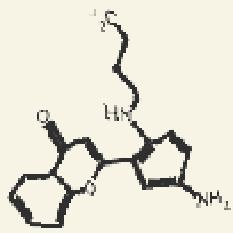 CCCCNc1ccc(N)cc1-c1cc(=O)c2ccccc2o1